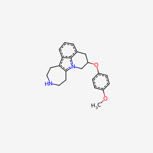 COc1ccc(OC2Cc3cccc4c5c(n(c34)C2)CCNCC5)cc1